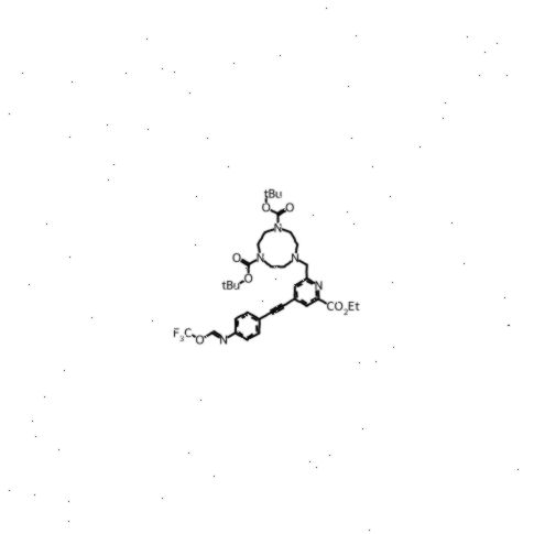 CCOC(=O)c1cc(C#Cc2ccc(N=COC(F)(F)F)cc2)cc(CN2CCN(C(=O)OC(C)(C)C)CCN(C(=O)OC(C)(C)C)CC2)n1